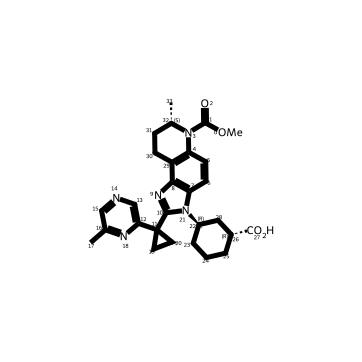 COC(=O)N1c2ccc3c(nc(C4(c5cncc(C)n5)CC4)n3[C@@H]3CCC[C@@H](C(=O)O)C3)c2CC[C@@H]1C